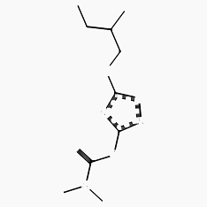 CCC(C)COc1nc(SC(=O)N(C)C)ns1